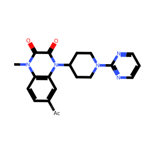 CC(=O)c1ccc2c(c1)n(C1CCN(c3ncccn3)CC1)c(=O)c(=O)n2C